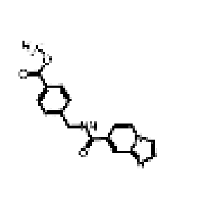 COC(=O)c1ccc(CNC(=O)c2ccn3ccnc3c2)cc1